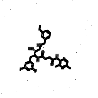 CCc1cccc(CNC[C@@H](O)[C@H](Cc2cc(F)cc(F)c2)NC(=O)CCC(=O)Nc2ncc(C)nc2C)c1